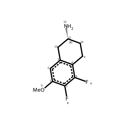 COc1cc2c(c(F)c1F)CC[C@@H](N)C2